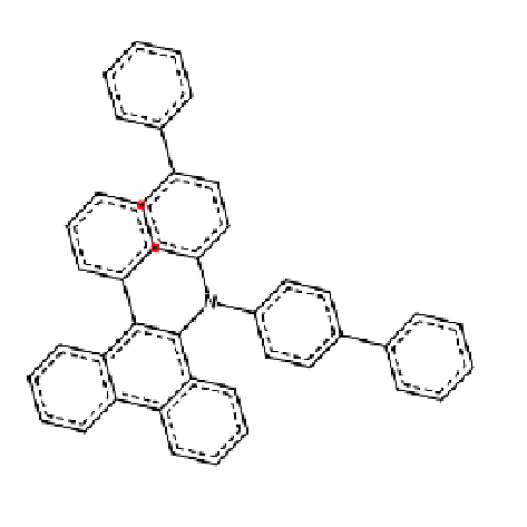 c1ccc(-c2ccc(N(c3ccc(-c4ccccc4)cc3)c3c(-c4ccccc4)c4ccccc4c4ccccc34)cc2)cc1